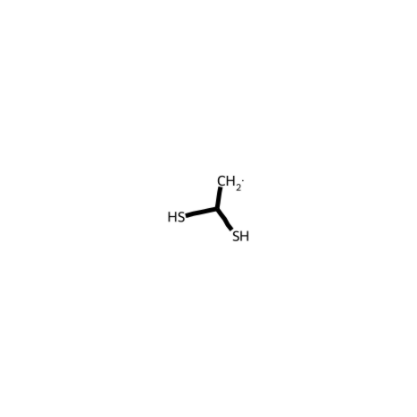 [CH2]C(S)S